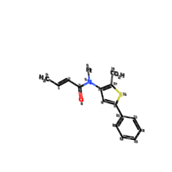 CC=CC(=O)N(CC)c1cc(-c2ccccc2)sc1C(=O)O